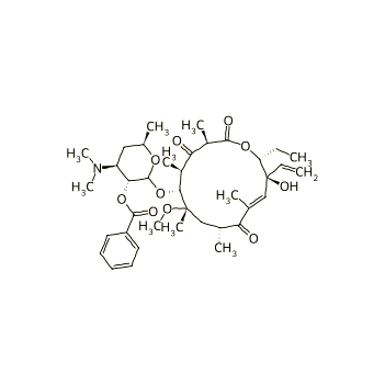 C=C[C@]1(O)/C=C(\C)C(=O)[C@H](C)C[C@](C)(OC)[C@H](OC2O[C@H](C)C[C@H](N(C)C)[C@H]2OC(=O)c2ccccc2)[C@@H](C)C(=O)[C@@H](C)C(=O)O[C@@H]1CC